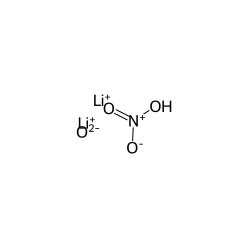 O=[N+]([O-])O.[Li+].[Li+].[O-2]